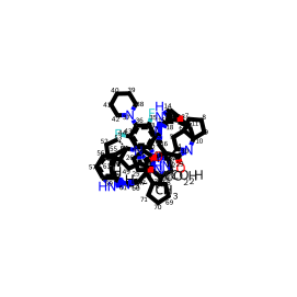 CC1C[C@H](C2CC3CCCC34c3ccc5[nH]c(nc5c3)C(NC(=O)O)(C3CCCC3)C(=O)N24)N(c2cc(F)c(N3CCCCC3)c(F)c2)[C@]1(C)C1C[C@@H]2CCC[C@@]23c2ccc4[nH]c(nc4c2)[C@@](NC(=O)O)(C2CCCC2)C(=O)N13